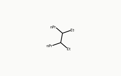 C[CH]C(CCC)C([CH]CC)CC